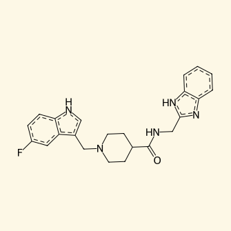 O=C(NCc1nc2ccccc2[nH]1)C1CCN(Cc2c[nH]c3ccc(F)cc23)CC1